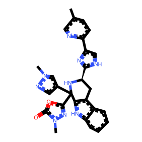 Cc1ccc(-c2c[nH]c([C@H]3Cc4c([nH]c5ccccc45)C(c4cnn(C)c4)(c4nn(C)c(=O)o4)N3)n2)nc1